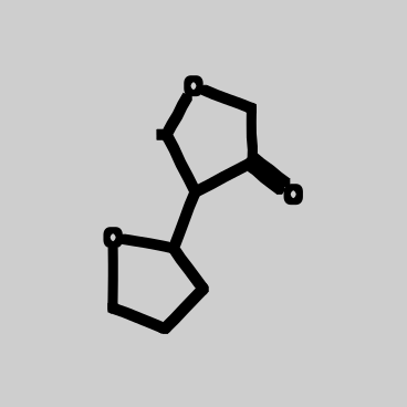 O=C1CO[C]C1C1CCCO1